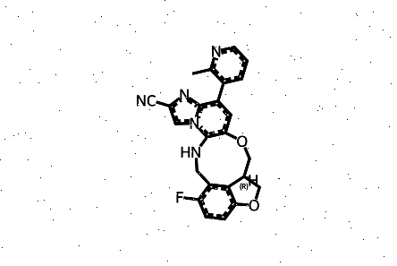 Cc1ncccc1-c1cc2c(n3cc(C#N)nc13)NCc1c(F)ccc3c1[C@H](CO3)CO2